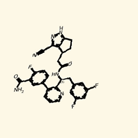 N#Cc1n[nH]c2c1C(CC(=O)N[C@@H](Cc1cc(F)cc(F)c1)c1ncccc1-c1ccc(F)c(C(N)=O)c1)CC2